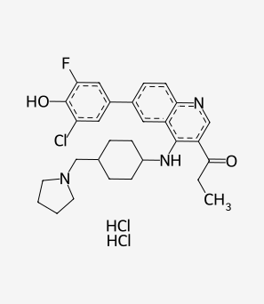 CCC(=O)c1cnc2ccc(-c3cc(F)c(O)c(Cl)c3)cc2c1NC1CCC(CN2CCCC2)CC1.Cl.Cl